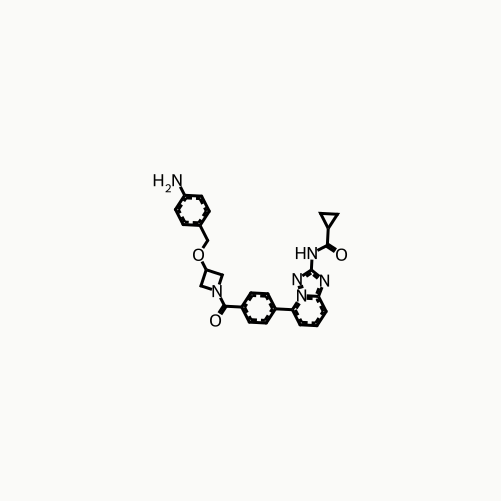 Nc1ccc(COC2CN(C(=O)c3ccc(-c4cccc5nc(NC(=O)C6CC6)nn45)cc3)C2)cc1